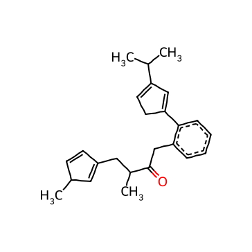 CC1C=CC(CC(C)C(=O)Cc2ccccc2C2=CC(C(C)C)=CC2)=C1